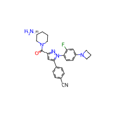 N#Cc1ccc(-c2cc(C(=O)N3CCC[C@@H](N)C3)nn2-c2ccc(N3CCC3)cc2F)cc1